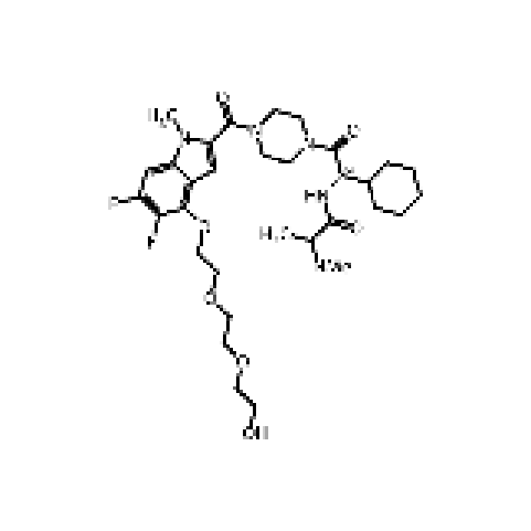 CNC(C)C(=O)N[C@H](C(=O)N1CCN(C(=O)c2cc3c(OCCOCCOCCO)c(F)c(F)cc3n2C)CC1)C1CCCCC1